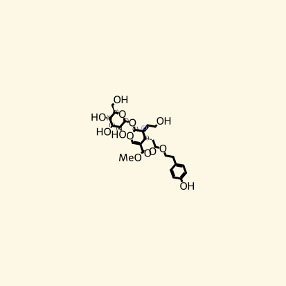 COC(=O)C1=CO[C@@H](O[C@@H]2O[C@H](CO)[C@@H](O)[C@H](O)[C@H]2O)/C(=C/CO)[C@@H]1CC(=O)OCCc1ccc(O)cc1